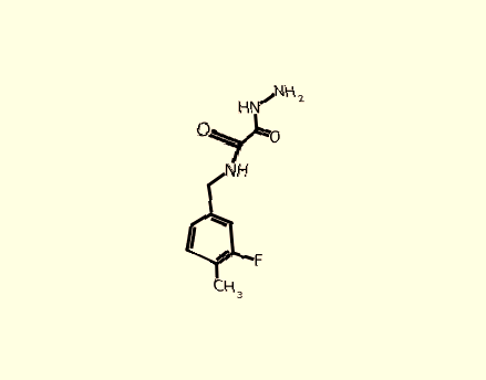 Cc1ccc(CNC(=O)C(=O)NN)cc1F